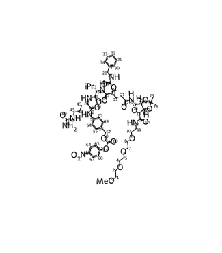 COCCOCCOCCOCCNC(=O)[C@H]1O[C@H](NC(=O)CC[C@H](OC(=O)NCc2ccccc2)C(=O)N[C@H](C(=O)N[C@@H](CCCNC(N)=O)C(=O)Nc2ccc(COC(=O)Oc3ccc([N+](=O)[O-])cc3)cc2)C(C)C)[C@@H]2OC(C)(C)O[C@@H]21